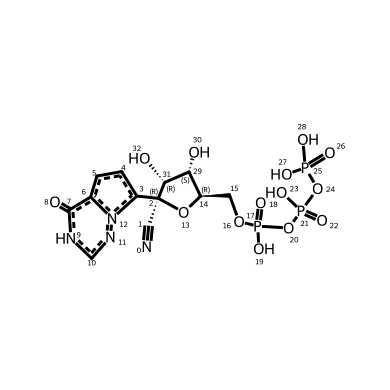 N#C[C@@]1(c2ccc3c(=O)[nH]cnn23)O[C@H](COP(=O)(O)OP(=O)(O)OP(=O)(O)O)[C@@H](O)[C@H]1O